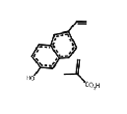 C=C(C)C(=O)O.C=Cc1ccc2cc(O)ccc2c1